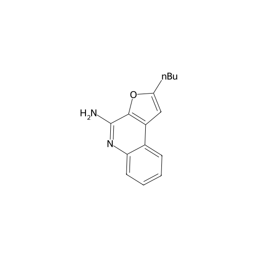 CCCCc1cc2c(o1)c(N)nc1ccccc12